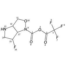 O=C(OC(=O)C(F)(F)F)N1OCC2NCC(F)C21